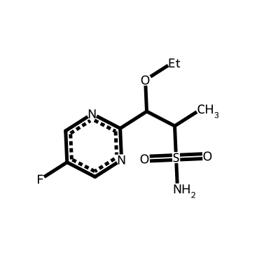 CCOC(c1ncc(F)cn1)C(C)S(N)(=O)=O